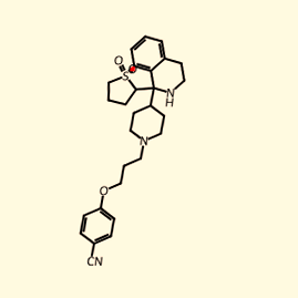 N#Cc1ccc(OCCCN2CCC(C3(C4CCCS4(=O)=O)NCCc4ccccc43)CC2)cc1